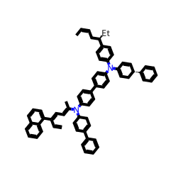 C=C/C(=C\C=C(/C)N(c1ccc(-c2ccc(N(C3=CC[C@@H](c4ccccc4)C=C3)c3ccc([C@H](CC)C/C=C\C)cc3)cc2)cc1)C1C=CC(c2ccccc2)=CC1)c1cccc2ccccc12